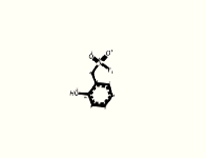 O=S(=O)(F)Cc1ccccc1O